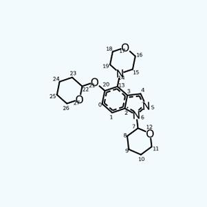 c1cc2c(cnn2C2CCCCO2)c(N2CCOCC2)c1OC1CCCCO1